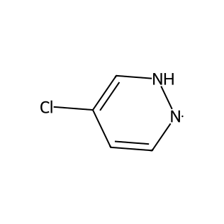 ClC1=CN[N]C=C1